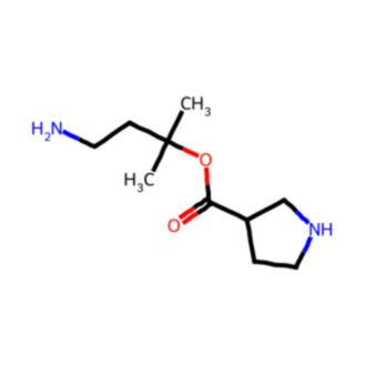 CC(C)(CCN)OC(=O)C1CCNC1